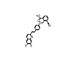 COC(=O)c1cccc(C#N)c1COc1ccc(C=Cc2ccc3cc(F)c(F)cc3n2)cc1